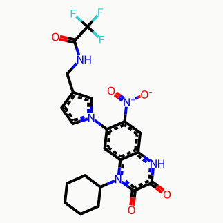 O=C(NCc1ccn(-c2cc3c(cc2[N+](=O)[O-])[nH]c(=O)c(=O)n3C2CCCCC2)c1)C(F)(F)F